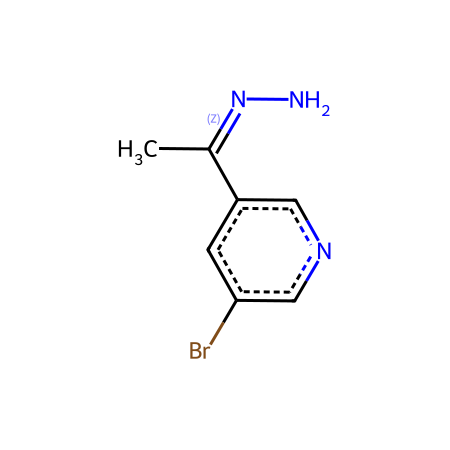 C/C(=N/N)c1cncc(Br)c1